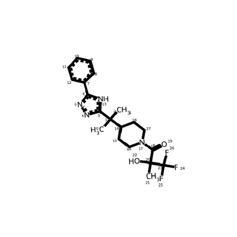 CC(C)(c1nnc(-c2ccccc2)[nH]1)C1CCN(C(=O)C(C)(O)C(F)(F)F)CC1